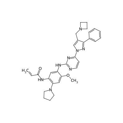 C=CC(=O)Nc1cc(Nc2nccc(-n3cc(CN4CCC4)c(-c4ccccc4)n3)n2)c(OC)cc1N1CCCC1